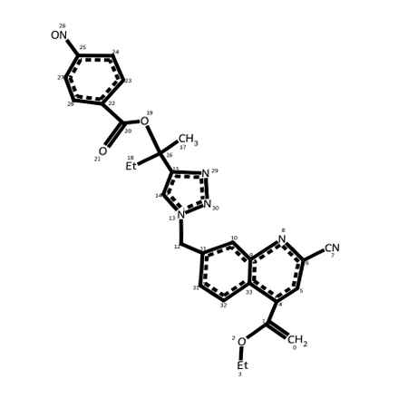 C=C(OCC)c1cc(C#N)nc2cc(Cn3cc(C(C)(CC)OC(=O)c4ccc(N=O)cc4)nn3)ccc12